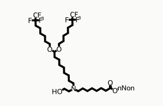 CCCCCCCCCOC(=O)CCCCCCCN(CCO)CCCCCCCCC(OCCCCCCC(F)(F)C(F)(F)F)OCCCCCCC(F)(F)C(F)(F)F